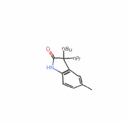 CCCCC1(CCC)C(=O)Nc2ccc(C)cc21